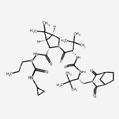 CCCN(NC(=O)[C@@H]1[C@@H]2[C@H](CN1C(=O)[C@@H](NC(=O)N[C@H](CN1C(=O)C3CCC(C3)C1=O)C(C)(C)C)C(C)(C)C)C2(C)C)C(=O)NC1CC1